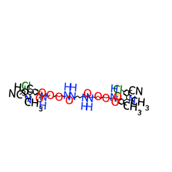 Cc1ccc(S(=O)(=O)NCCOCCOCCNC(=O)NCCCCNC(=O)NCCOCCOCCNS(=O)(=O)c2ccc(C)c(C3CN(C)Cc4c(C#N)cc(Cl)cc43)c2)cc1C1CN(C)Cc2c(C#N)cc(Cl)cc21